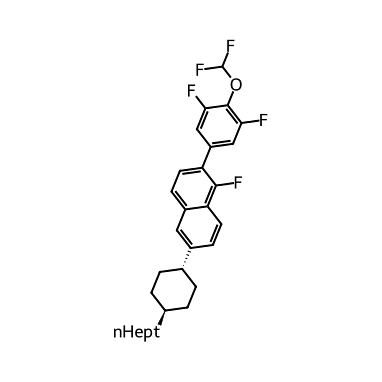 CCCCCCC[C@H]1CC[C@H](c2ccc3c(F)c(-c4cc(F)c(OC(F)F)c(F)c4)ccc3c2)CC1